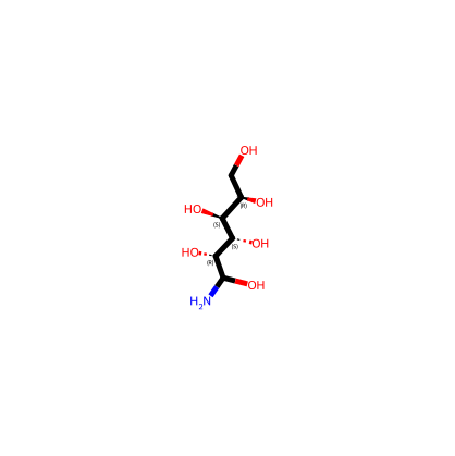 NC(O)[C@H](O)[C@@H](O)[C@@H](O)[C@H](O)CO